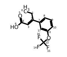 CCC(=CC(=O)O)c1cccc(OC(F)(F)F)c1